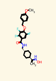 C=C(NO)[C@H]1CC[C@H](CNC(=O)c2cc(F)c(OCc3ccc(OC)cc3)c(F)c2F)CC1